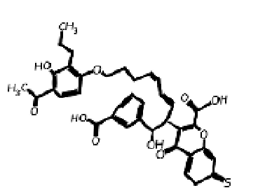 CCCc1c(OCCC/C=C\C=C\[C@@H](c2c(C(=O)O)oc3c(c2=O)=CCC(=S)C=3)[C@@H](O)c2cccc(C(=O)O)c2)ccc(C(C)=O)c1O